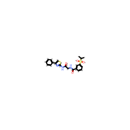 CC(C)S(=O)(=O)c1cccc(C(=O)NCC(=O)Nc2nc(-c3ccccc3)cs2)c1